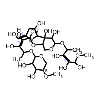 COC(O)/C(O)=C(/O)C(C)OC1OCC(OC(O)/C(O)=C(/O)C(C)OC2OC[C@@H](OC)C(O)C2O)C(O)(C2O/C(=C/O)CC2O)C1O